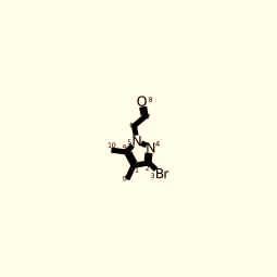 Cc1c(Br)nn(CC=O)c1C